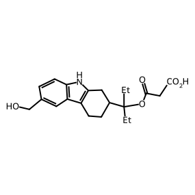 CCC(CC)(OC(=O)CC(=O)O)C1CCc2c([nH]c3ccc(CO)cc23)C1